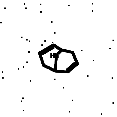 C1=CC2CC=C[C](C1)N2